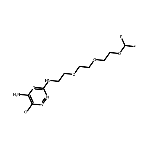 Nc1nc(NCCOCCOCCOC(F)F)nnc1Cl